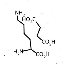 NCCCCC(N)C(=O)O.O=C(O)CCC(=O)O